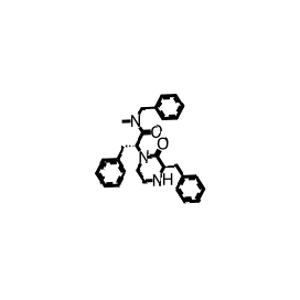 CN(Cc1ccccc1)C(=O)[C@@H](Cc1ccccc1)N1CCN[C@H](Cc2ccccc2)C1=O